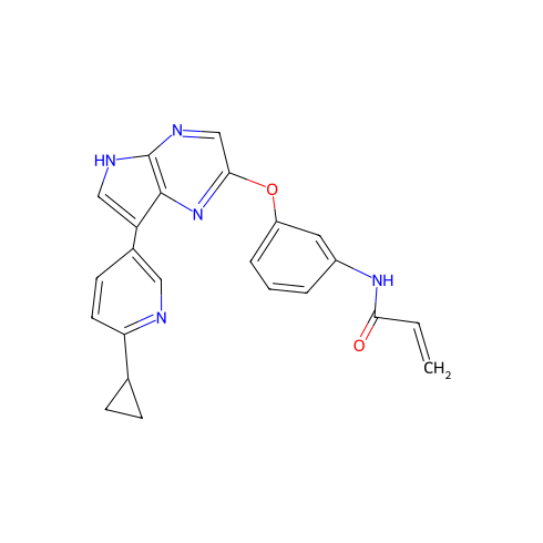 C=CC(=O)Nc1cccc(Oc2cnc3[nH]cc(-c4ccc(C5CC5)nc4)c3n2)c1